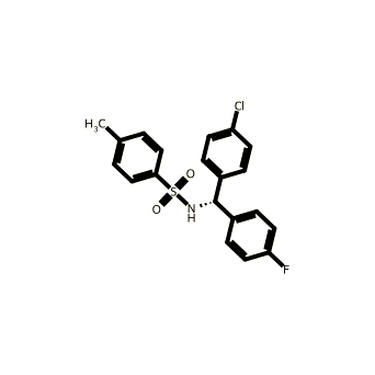 Cc1ccc(S(=O)(=O)N[C@@H](c2ccc(F)cc2)c2ccc(Cl)cc2)cc1